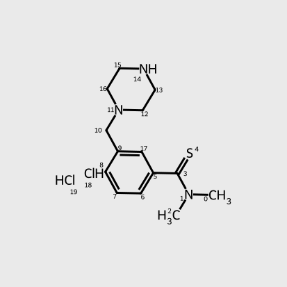 CN(C)C(=S)c1cccc(CN2CCNCC2)c1.Cl.Cl